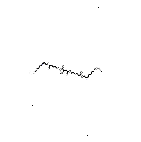 CCCCCC/C=C\COC(=O)CCCCCOC(=O)CC(O)C(=O)OCCCCCC(=O)OC/C=C\CCCCCC